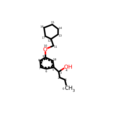 CCCC(O)c1cccc(OCC2CCCCC2)c1